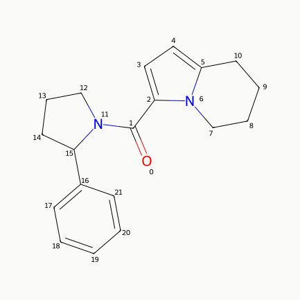 O=C(c1ccc2n1CCCC2)N1CCCC1c1ccccc1